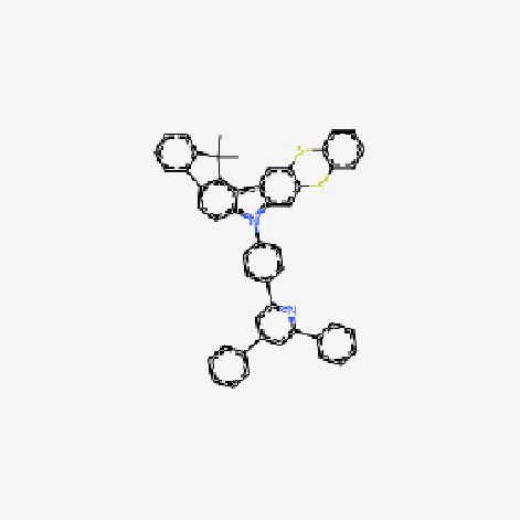 CC1(C)c2ccccc2-c2ccc3c(c21)c1cc2c(cc1n3-c1ccc(-c3cc(-c4ccccc4)cc(-c4ccccc4)n3)cc1)Sc1ccccc1S2